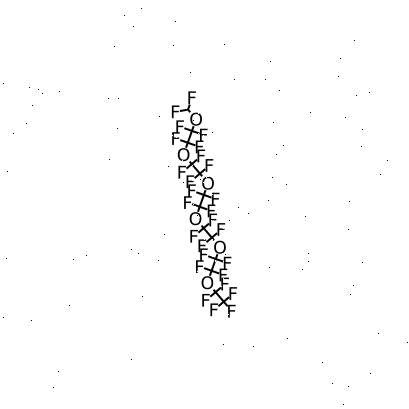 FC(F)OC(F)(F)C(F)(F)OC(F)(F)C(F)(F)OC(F)(F)C(F)(F)OC(F)(F)C(F)(F)OC(F)(F)C(F)(F)OC(F)(F)C(F)(F)F